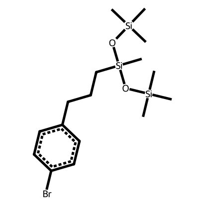 C[Si](C)(C)O[Si](C)(CCCc1ccc(Br)cc1)O[Si](C)(C)C